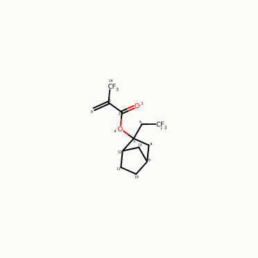 C=C(C(=O)OC1(CC(F)(F)F)CC2CCC1C2)C(F)(F)F